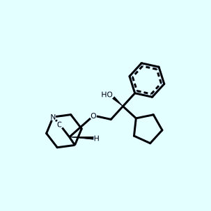 O[C@@](CO[C@H]1CN2CCC1CC2)(c1ccccc1)C1CCCC1